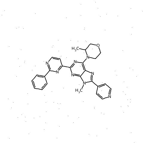 CC1COCCN1c1nc(-c2ccnc(-c3ccccc3)n2)nc2c1nc(-c1ccncc1)n2C